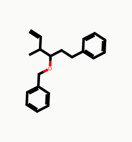 C=CC(C)C(CCc1ccccc1)OCc1ccccc1